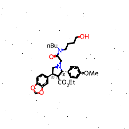 CCCCN(CCCCO)C(=O)CN1C[C@H](c2ccc3c(c2)OCO3)[C@H](C(=O)OCC)[C@H]1c1ccc(OC)cc1